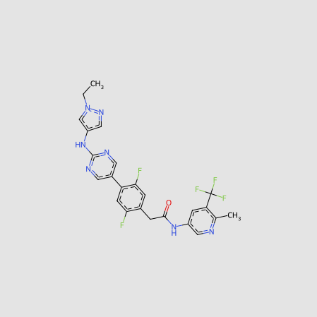 CCn1cc(Nc2ncc(-c3cc(F)c(CC(=O)Nc4cnc(C)c(C(F)(F)F)c4)cc3F)cn2)cn1